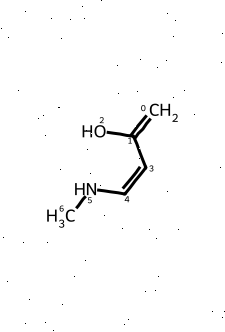 C=C(O)/C=C\NC